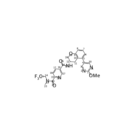 COc1ncc(-c2cccc3c2C[C@H](NC(=O)c2ccc(C(=O)N(C)CC(F)(F)F)nc2)CO3)cn1